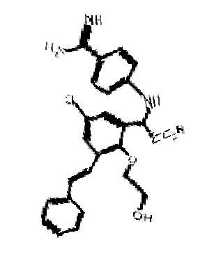 N=C(N)c1ccc(NC(C(=O)O)c2cc(Cl)cc(C=Cc3ccccc3)c2OCCO)cc1